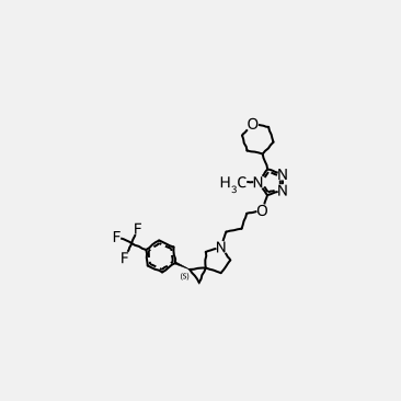 Cn1c(OCCCN2CCC3(C[C@H]3c3ccc(C(F)(F)F)cc3)C2)nnc1C1CCOCC1